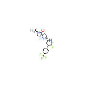 CN1CC[C@@]2(CC[C@H](c3cc(-c4ccc(C(F)(F)F)cc4)c(F)cn3)N2)C1=O